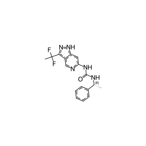 C[C@@H](NC(=O)Nc1cc2[nH]nc(C(C)(F)F)c2cn1)c1ccccc1